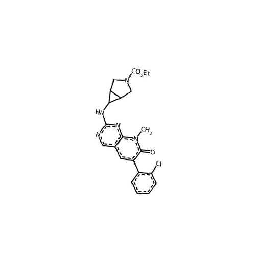 CCOC(=O)N1CC2C(C1)C2Nc1ncc2cc(-c3ccccc3Cl)c(=O)n(C)c2n1